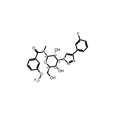 CN(C(=O)c1cccc(OC(F)(F)F)c1)[C@@H]1O[C@H](CO)[C@H](O)[C@H](n2cc(-c3cccc(F)c3)nn2)[C@H]1O